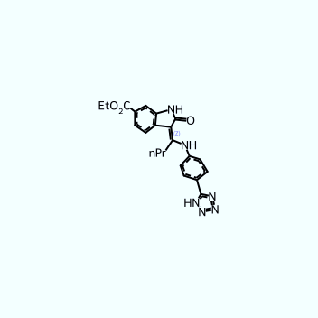 CCC/C(Nc1ccc(-c2nnn[nH]2)cc1)=C1/C(=O)Nc2cc(C(=O)OCC)ccc21